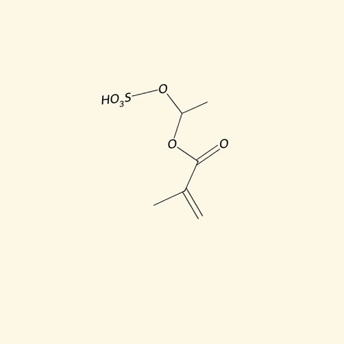 C=C(C)C(=O)OC(C)OS(=O)(=O)O